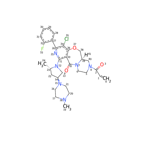 C=CC(=O)N1CCN2C(=O)c3c(N4C[C@@H](N5CCN(C)CC5)C[C@@H]4C)nc(-c4ccccc4F)c(Cl)c3OC[C@H]2C1